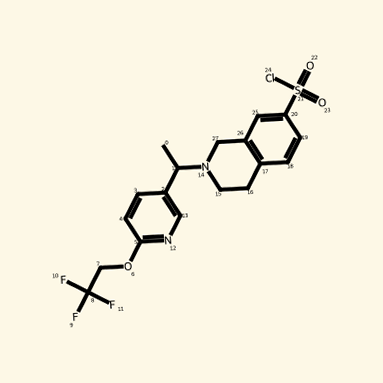 CC(c1ccc(OCC(F)(F)F)nc1)N1CCc2ccc(S(=O)(=O)Cl)cc2C1